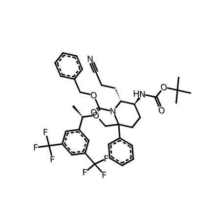 C[C@@H](OCC1(c2ccccc2)CC[C@H](NC(=O)OC(C)(C)C)[C@@H](CCC#N)N1C(=O)OCc1ccccc1)c1cc(C(F)(F)F)cc(C(F)(F)F)c1